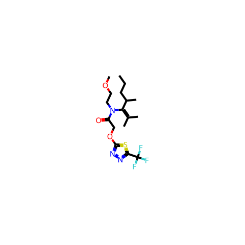 CCCC(C)C(=C(C)C)N(CCOC)C(=O)COc1nnc(C(F)(F)F)s1